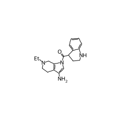 CCN1CCc2c(N)cn(C(=O)C3CCNc4ccccc43)c2C1